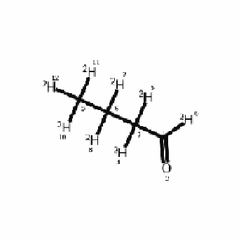 [2H]C(=O)C([2H])([2H])C([2H])([2H])C([2H])([2H])[2H]